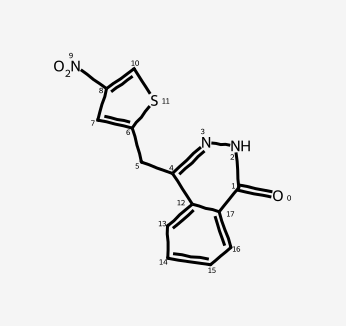 O=c1[nH]nc(Cc2cc([N+](=O)[O-])cs2)c2ccccc12